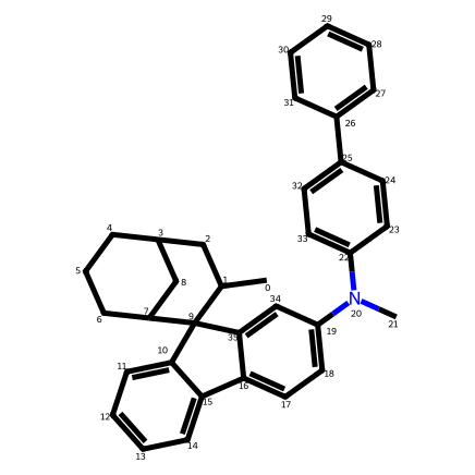 CC1CC2CCCC(C2)C12c1ccccc1-c1ccc(N(C)c3ccc(-c4ccccc4)cc3)cc12